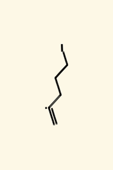 C=[C]CCCI